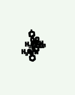 CCc1cnc(N(C)C2CCCCC2)nc1[N+](C)(C)C(=O)OC1=CC[CH]C=C1